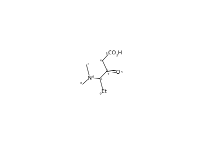 CCC(C(=O)CC(=O)O)N(C)C